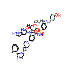 Cc1ccccc1[C@@H]1CN(C)[C@H](C)CN1C1CC2(CCN(c3ccc(C(=O)NS(=O)(=O)c4ccc(NCC5CCC(C)(O)CC5)c([N+](=O)[O-])c4)c(N4c5cc6cc[nH]c6nc5O[C@H]5COCC[C@@H]54)c3)CC2)C1